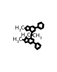 CC1=Cc2c(cc(-c3ccccc3)cc2C(C)(C)c2cc(-c3ccccc3)cc3c2C=C(C)C3)C1